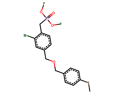 CSc1ccc(COCc2ccc(CP(=O)(OF)OF)c(Br)c2)cc1